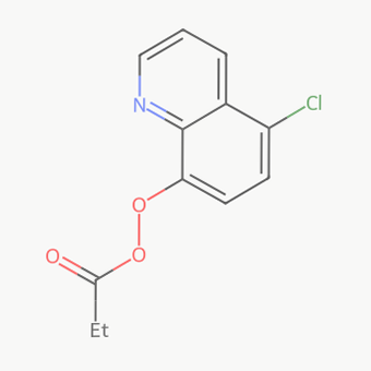 CCC(=O)OOc1ccc(Cl)c2cccnc12